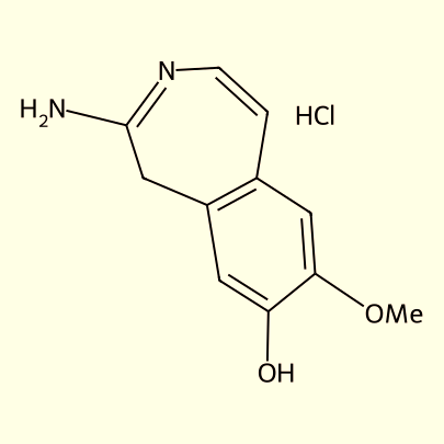 COc1cc2c(cc1O)CC(N)=NC=C2.Cl